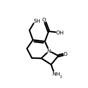 NC1C(=O)N2C(C(=O)O)=C(CS)CCC12